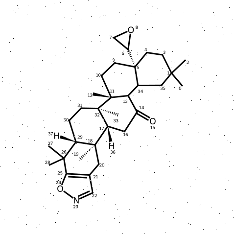 CC1(C)CC[C@]2(C3CO3)CC[C@]3(C)C(C(=O)C[C@@H]4[C@@]5(C)Cc6cnoc6C(C)(C)[C@@H]5CC[C@]43C)C2C1